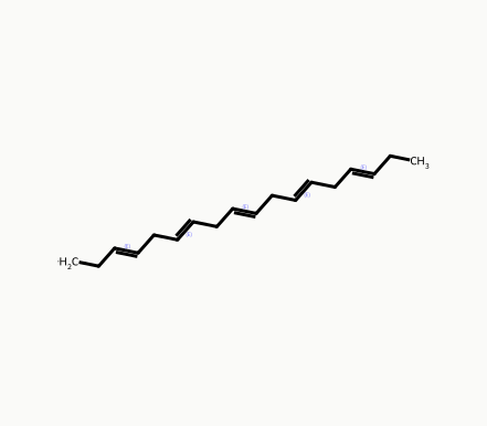 [CH2]C/C=C/C/C=C/C/C=C/C/C=C/C/C=C/CC